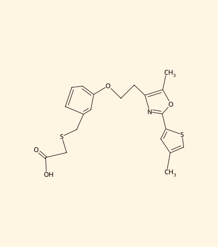 Cc1csc(-c2nc(CCOc3cccc(CSCC(=O)O)c3)c(C)o2)c1